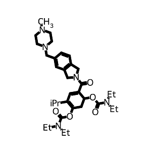 CCN(CC)C(=O)OC1=C(C(C)C)C=C(C(=O)N2Cc3ccc(CN4CCN(C)CC4)cc3C2)C(OC(=O)N(CC)CC)C1